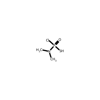 CN(C)P(=O)(S)Cl